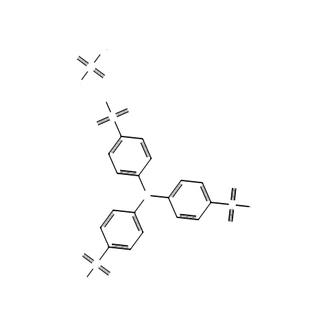 O=S(=O)(O)O.O=S(=O)(O)c1ccc(P(c2ccc(S(=O)(=O)O)cc2)c2ccc(S(=O)(=O)O)cc2)cc1